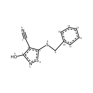 N#Cc1c(O)nsc1SCc1ccccc1